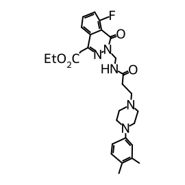 CCOC(=O)Cc1nn(CNC(=O)CCN2CCN(c3ccc(C)c(C)c3)CC2)c(=O)c2c(F)cccc12